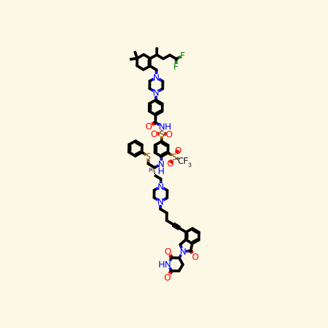 CC(CCC(F)F)C1=C(CN2CCN(c3ccc(C(=O)NS(=O)(=O)c4ccc(N[C@H](CCN5CCN(CCCC#Cc6cccc7c6CN(C6CCC(=O)NC6=O)C7=O)CC5)CSc5ccccc5)c(S(=O)(=O)C(F)(F)F)c4)cc3)CC2)CCC(C)(C)C1